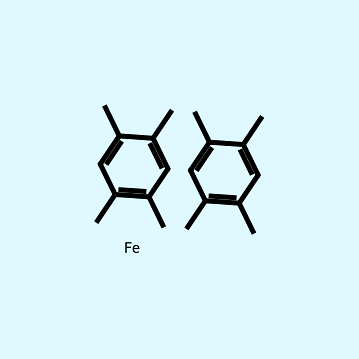 Cc1cc(C)c(C)cc1C.Cc1cc(C)c(C)cc1C.[Fe]